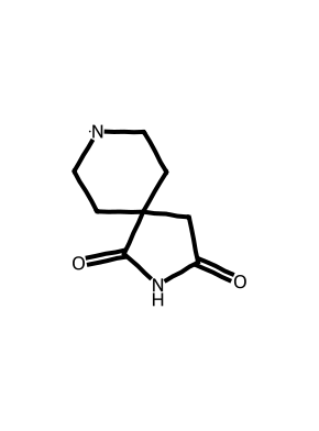 O=C1CC2(CC[N]CC2)C(=O)N1